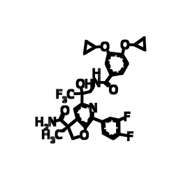 C[C@]1(C(N)=O)COc2c1cc(C(O)(CNC(=O)c1ccc(OC3CC3)c(OC3CC3)c1)C(F)(F)F)nc2-c1ccc(F)c(F)c1